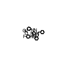 O=[N+]([O-])c1cccc(-n2cnc3c(N(Cc4ccccc4)Cc4ccccc4)nc(Nc4ccc(F)cc4)nc32)c1